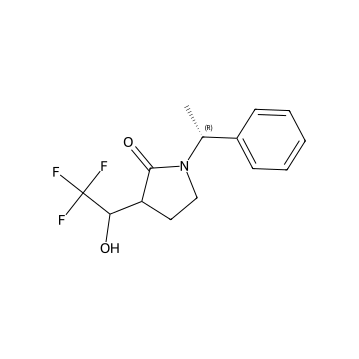 C[C@H](c1ccccc1)N1CCC(C(O)C(F)(F)F)C1=O